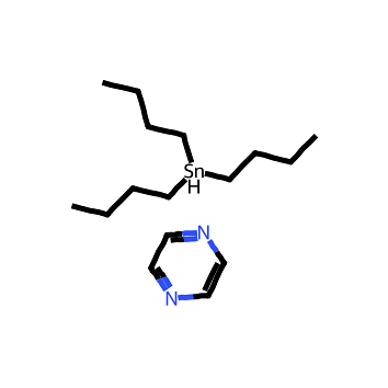 CCC[CH2][SnH]([CH2]CCC)[CH2]CCC.c1cnccn1